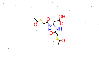 CC(=O)SCC(=O)NC(CC(=O)O)NC(=O)CSC(C)=O